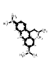 CN(C)Cc1c2ccc(=[N+](C)C)cc-2oc2cc(N(C)C)ccc12